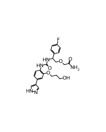 NC(=O)COCC(NC(=O)Nc1ccc(-c2cn[nH]c2)cc1OCCCO)c1ccc(F)cc1